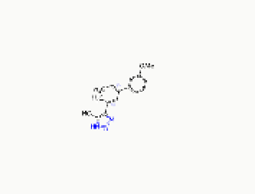 C/C=C(\C=C(/C)c1nn[nH]c1C#N)c1cccc(OC)c1